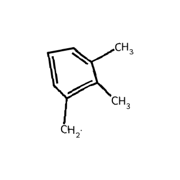 [CH2]c1cccc(C)c1C